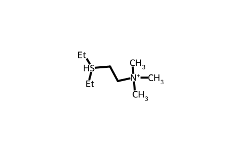 CC[SH](CC)CC[N+](C)(C)C